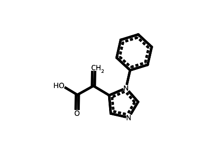 C=C(C(=O)O)c1cncn1-c1ccccc1